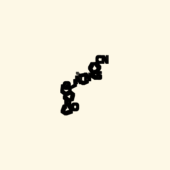 C[C@@H]1CN(c2csc3cc(C#N)ccc23)CCN1CC[C@@H]1OCCc2cc(-n3ccccc3=O)ccc21